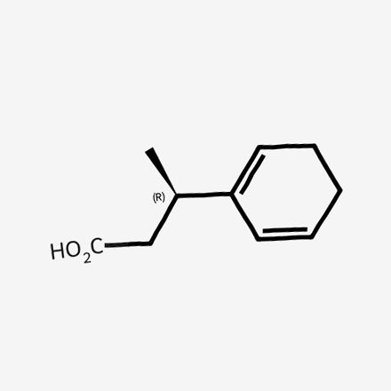 C[C@H](CC(=O)O)C1=CCCC=C1